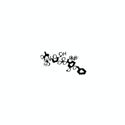 COc1cc(C(C)OC(=O)OC2C[C@H](n3cc(C)c(=O)[nH]c3=O)O[C@@H]2CO)c([N+](=O)[O-])cc1OCc1ccccc1